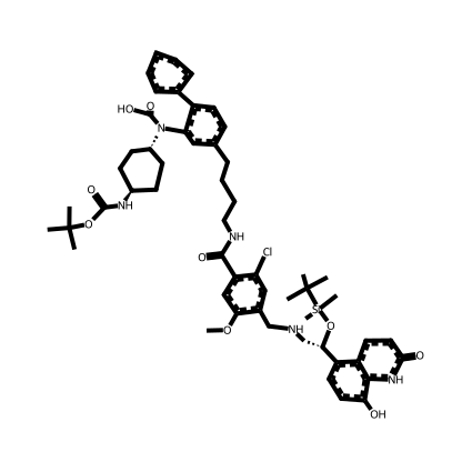 COc1cc(C(=O)NCCCCc2ccc(-c3ccccc3)c(N(C(=O)O)[C@H]3CC[C@H](NC(=O)OC(C)(C)C)CC3)c2)c(Cl)cc1CNC[C@H](O[Si](C)(C)C(C)(C)C)c1ccc(O)c2[nH]c(=O)ccc12